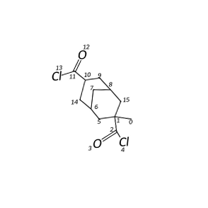 CC1(C(=O)Cl)CC2CC(CC(C(=O)Cl)C2)C1